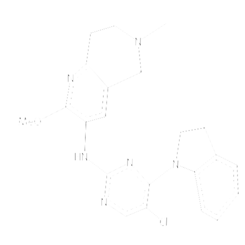 COc1nc2c(cc1Nc1ncc(Cl)c(N3CCc4ccccc43)n1)CN(C)CC2